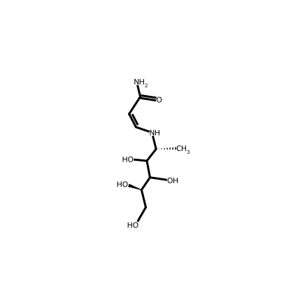 C[C@@H](N/C=C\C(N)=O)C(O)C(O)[C@H](O)CO